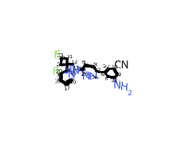 N#Cc1cc(N)cc(-c2ccc(NCC3(c4ncccc4F)CC(F)C3)nn2)c1